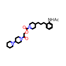 CC(=O)Nc1ccccc1CCCC1CCN(C(=O)OCC(=O)N2CCC(N3CCCCC3)CC2)CC1